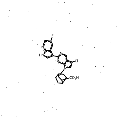 O=C(O)C1C2CCC(CC2)C1n1cc(Cl)c2cnc(-c3c[nH]c4ncc(F)cc34)nc21